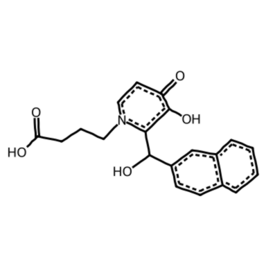 O=C(O)CCCn1ccc(=O)c(O)c1C(O)c1ccc2ccccc2c1